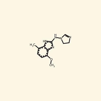 COc1ccc(C)c2[nH]c(NN3C=NCC3)nc12